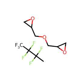 C(OCC1CO1)C1CO1.CC(F)(F)C(F)(F)C(F)(F)F